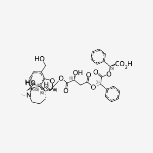 CN1CCC[C@]23c4c5ccc(CO)c4O[C@H]2C(OC(=O)[C@@H](O)CC(=O)O[C@H](C(=O)O[C@H](C(=O)O)c2ccccc2)c2ccccc2)=CC[C@@]3(O)[C@H]1C5